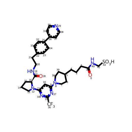 O=C(CCCC1CCN(c2cc(N3CCC[C@H]3C(=O)NCCc3ccc(-c4ccncc4)cc3)nc(C(F)(F)F)n2)CC1)NCS(=O)(=O)O